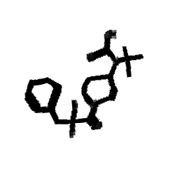 CC(C)(C)N(C(=O)O)C1CCN(C(=O)C(F)(F)Cc2ccccc2)CC1